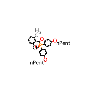 CCCCCOc1ccc(P(=O)(C(=O)c2c(C)cccc2C)c2ccc(OCCCCC)cc2)cc1